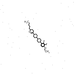 CCCCCC1CCC(C2CCC(C3CCC(c4ccc(OCC)c(F)c4F)CC3)CC2)=CO1